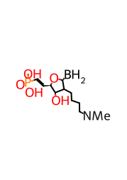 B[C@@H]1O[C@H](/C=C/P(=O)(O)O)C(O)C1CCCCNC